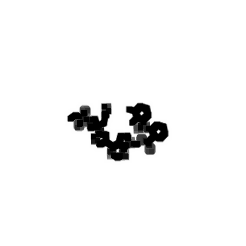 CCS(=O)(=O)N1CC(CC#N)(n2cc(-c3ncnc4c3ccn4COC(=O)c3ccccc3Nc3cccc(C)c3C)cn2)C1